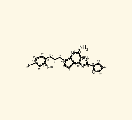 Nc1nc2c(ccn2CCSc2ccc(F)cc2F)c2nc(-c3ccco3)nn12